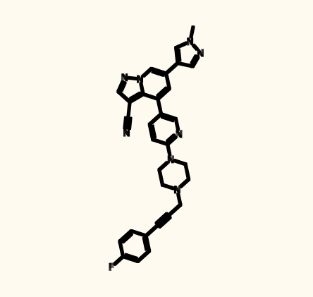 Cn1cc(-c2cc(-c3ccc(N4CCN(CC#Cc5ccc(F)cc5)CC4)nc3)c3c(C#N)cnn3c2)cn1